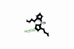 Cl.Cl.[CH2]=[Hf]([C]1=C(CCCC)C=CC1)[C]1=C(CCCC)C=CC1